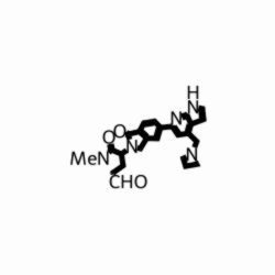 CNC(=O)C(CCC=O)N1Cc2cc(-c3cc(CN4CCC4)c4cc[nH]c4n3)ccc2C1=O